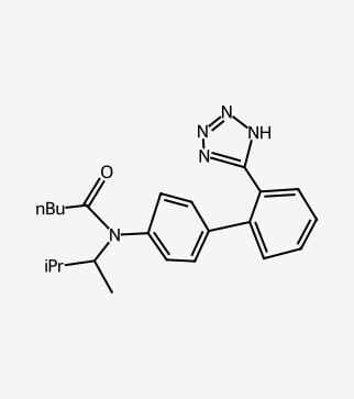 CCCCC(=O)N(c1ccc(-c2ccccc2-c2nnn[nH]2)cc1)C(C)C(C)C